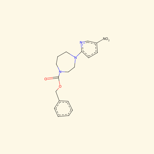 O=C(OCc1ccccc1)N1CCCN(c2ccc([N+](=O)[O-])cn2)CC1